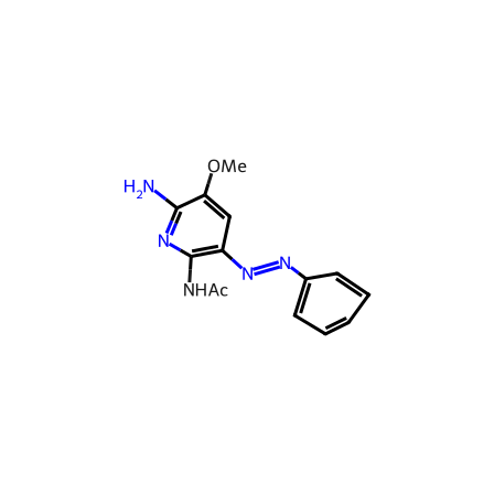 COc1cc(/N=N/c2ccccc2)c(NC(C)=O)nc1N